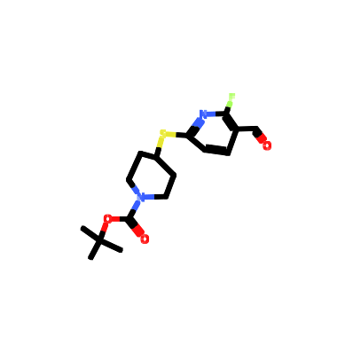 CC(C)(C)OC(=O)N1CCC(Sc2ccc(C=O)c(F)n2)CC1